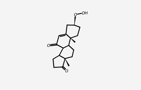 C[C@]12CC[C@H](OO)CC1=CC(=O)C1C2CC[C@]2(C)C(=O)CCC12